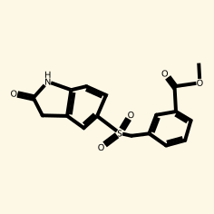 COC(=O)c1cccc(CS(=O)(=O)c2ccc3c(c2)CC(=O)N3)c1